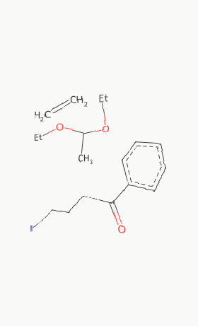 C=C.CCOC(C)OCC.O=C(CCCI)c1ccccc1